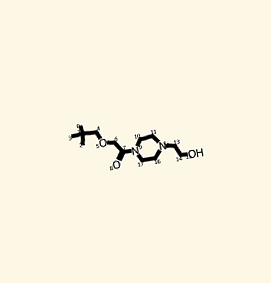 CC(C)(C)COCC(=O)N1CCN(CCO)CC1